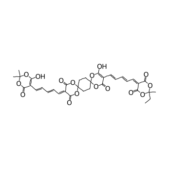 CCC1(C)OC(=O)C(=C/C=C/C=C/C2=C(O)OC3(CCC4(CC3)OC(=O)C(=C/C=C/C=C/C3=C(O)OC(C)(C)OC3=O)C(=O)O4)OC2=O)C(=O)O1